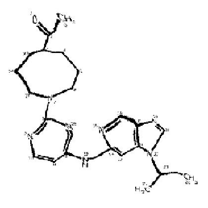 CC(=O)C1CCCN(c2nccc(Nc3cc4c(cn3)ncn4C(C)C)n2)CCC1